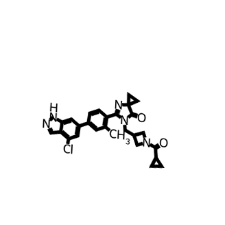 Cc1cc(-c2cc(Cl)c3cn[nH]c3c2)ccc1C1=NC2(CC2)C(=O)N1CC1CN(C(=O)C2CC2)C1